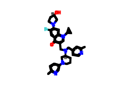 Cc1ccc(N2CCC[C@H](N(Cc3ccnc(C)c3)Cc3cn(C4CC4)c4cc(N5CC[C@H](O)C5)c(F)cc4c3=O)C2)cn1